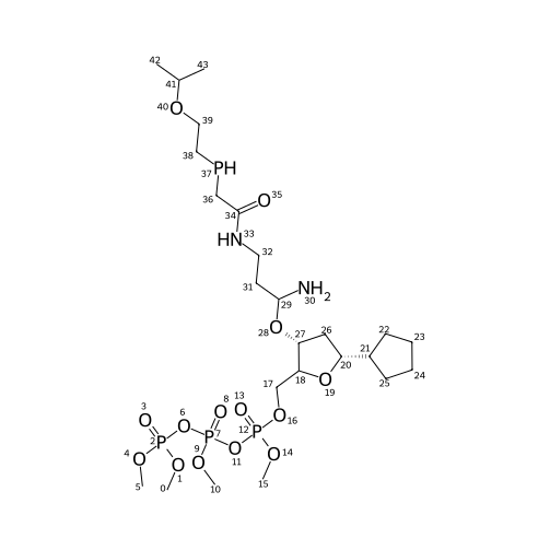 COP(=O)(OC)OP(=O)(OC)OP(=O)(OC)OCC1O[C@@H](C2CCCC2)C[C@H]1OC(N)CCNC(=O)CPCCOC(C)C